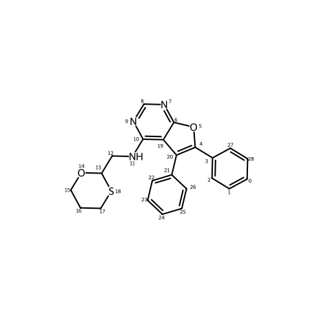 c1ccc(-c2oc3ncnc(NCC4OCCCS4)c3c2-c2ccccc2)cc1